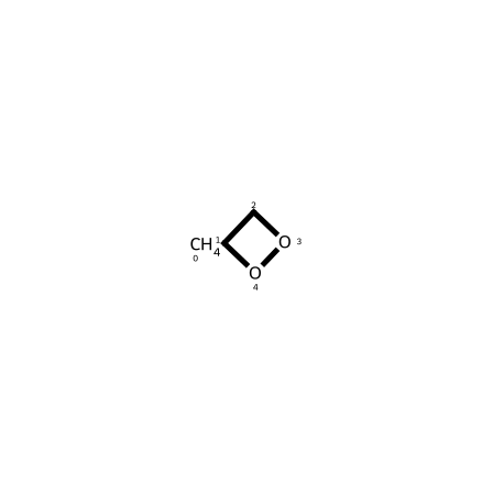 C.C1COO1